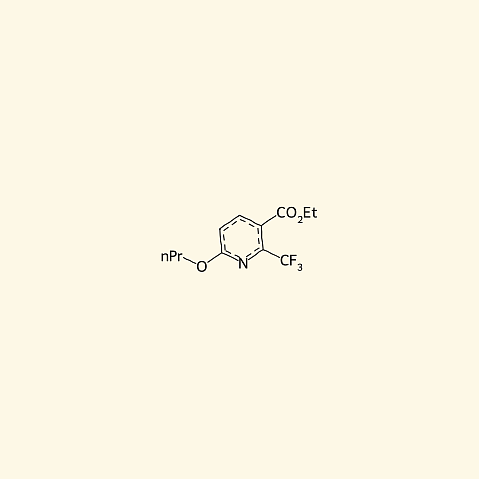 CCCOc1ccc(C(=O)OCC)c(C(F)(F)F)n1